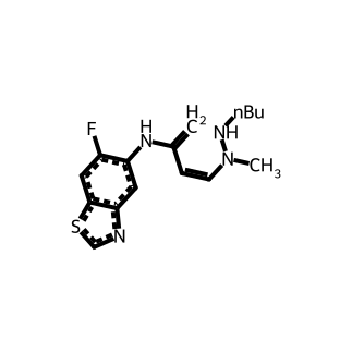 C=C(/C=C\N(C)NCCCC)Nc1cc2ncsc2cc1F